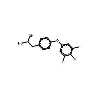 OC(O)Cc1ccc(Oc2cc(F)c(F)c(F)c2)cc1